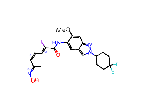 COc1cc2nn(C3CCC(F)(F)CC3)cc2cc1NC(=O)/C(I)=C/C=C\C(C)=N\O